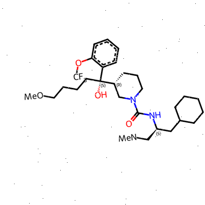 CNC[C@H](CC1CCCCC1)NC(=O)N1CCC[C@@H]([C@@](O)(CCCCOC)c2ccccc2OC(F)(F)F)C1